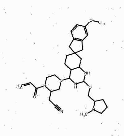 C=CC(=O)N1CCN(C2NC(OCC3CCCN3C)NC3CC4(CCC32)Cc2ccc(OC)cc2C4)CC1CC#N